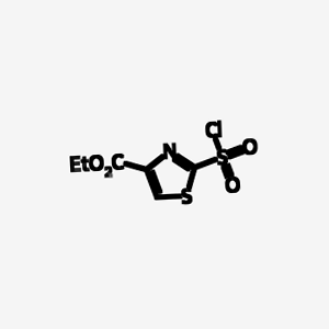 CCOC(=O)c1csc(S(=O)(=O)Cl)n1